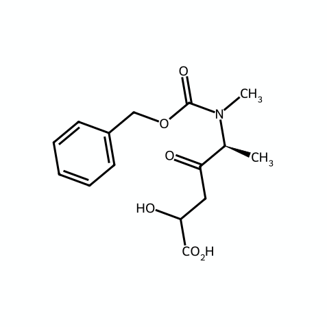 C[C@@H](C(=O)CC(O)C(=O)O)N(C)C(=O)OCc1ccccc1